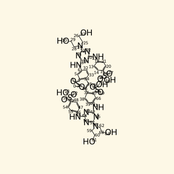 CS(=O)(=O)c1cc(Nc2nc(Nc3ccc(S(=O)(=O)O)cc3)nc(N(CCO)CCO)n2)ccc1/C=C/c1ccc(Nc2nc(Nc3ccc(S(=O)(=O)O)cc3)nc(N(CCO)CCO)n2)cc1S(=O)(=O)O